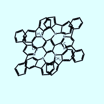 Cc1cccc2c3ccccc3n(-c3c(-c4nc(-c5ccccc5)cc(-c5ccccc5)n4)c(-n4c5ccccc5c5cccc(C)c54)c(-n4c5ccccc5c5cccc(C)c54)c(-c4nc(-c5ccccc5)cc(-c5ccccc5)n4)c3-n3c4ccccc4c4cccc(C)c43)c12